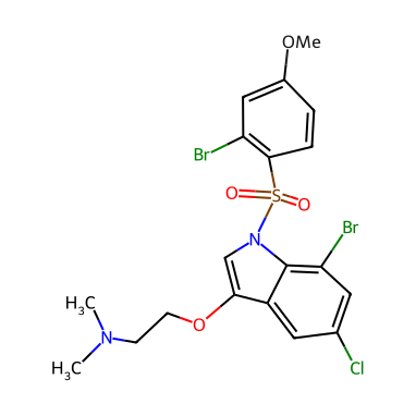 COc1ccc(S(=O)(=O)n2cc(OCCN(C)C)c3cc(Cl)cc(Br)c32)c(Br)c1